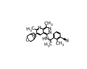 Cc1nc2c(C)nnc(N[C@H](C)c3cccc(C#N)c3C)c2cc1N1C2CCC1COC2